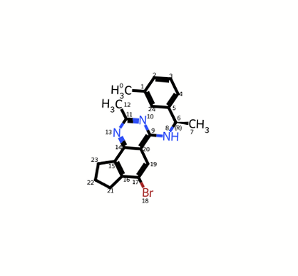 Cc1cccc([C@@H](C)Nc2nc(C)nc3c4c(c(Br)cc23)CCC4)c1